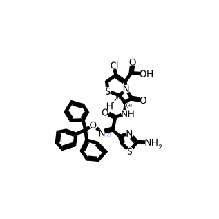 Nc1nc(/C(=N/OC(c2ccccc2)(c2ccccc2)c2ccccc2)C(=O)N[C@@H]2C(=O)N3C(C(=O)O)=C(Cl)CS[C@H]23)cs1